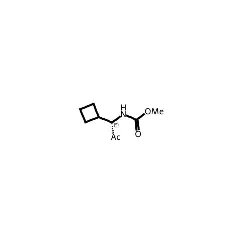 COC(=O)N[C@H](C(C)=O)C1CCC1